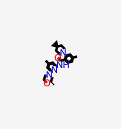 Cc1cc(NC(=O)c2ccc(C)cc2N2CCC3(CC2)CC3)nc(N2CCO[C@H](C)C2)c1